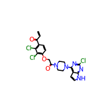 C=CC(=O)c1ccc(OCC(=O)N2CCN(c3nc(Cl)nc4[nH]ccc34)CC2)c(Cl)c1Cl